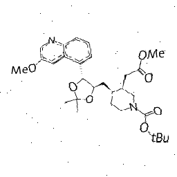 COC(=O)C[C@H]1CN(C(=O)OC(C)(C)C)CC[C@H]1C[C@H]1OC(C)(C)O[C@@H]1c1cccc2ncc(OC)cc12